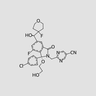 N#Cc1cnc(CN2C(=O)c3cc([C@@H](O)C4(F)CCOCC4)cc(F)c3[C@]2(OCCO)c2ccc(Cl)cc2)nc1